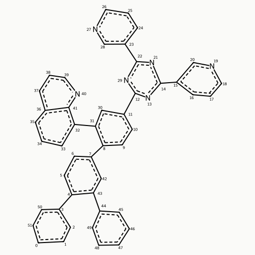 c1ccc(-c2ccc(-c3ccc(-c4nc(-c5cccnc5)nc(-c5cccnc5)n4)cc3-c3cccc4cccnc34)cc2-c2ccccc2)cc1